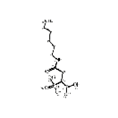 NCCCCCNC(=O)CC(P(O)O)P(=O)(O)O